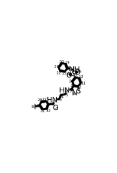 O=C(NCCCNc1nsc2ccc(S(=O)(=O)Nc3ccccc3)cc12)c1ccc(I)cc1